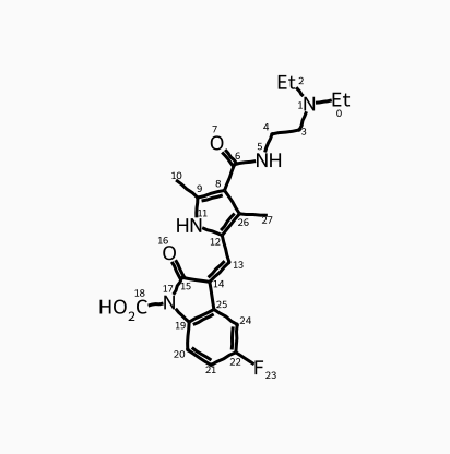 CCN(CC)CCNC(=O)c1c(C)[nH]c(C=C2C(=O)N(C(=O)O)c3ccc(F)cc32)c1C